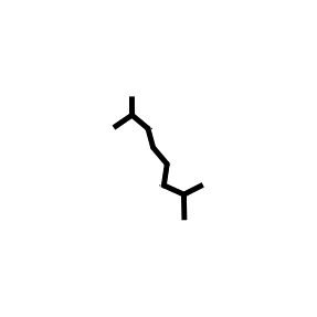 CC(C)[CH]CC[CH]C(C)C